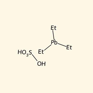 C[CH2][Pb]([CH2]C)[CH2]C.O=S(=O)(O)O